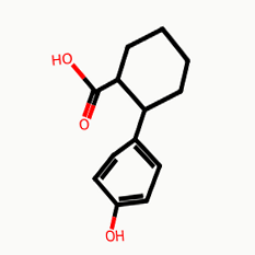 O=C(O)C1CCCCC1c1ccc(O)cc1